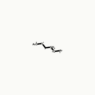 CC(=O)OSC[SiH2]OC(C)C